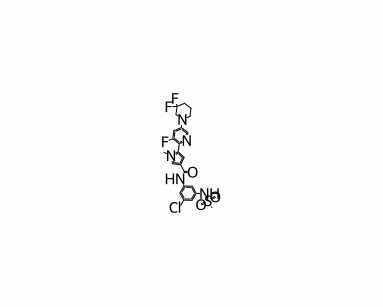 Cn1cc(C(=O)Nc2cc(Cl)cc(NS(C)(=O)=O)c2)cc1-c1ncc(N2CCCC(F)(F)C2)cc1F